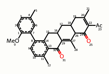 COc1ccc(C)cc1-c1ccc(C)c2c1CC1CC3CC(C)=C(C(C)=O)C(=O)C3C(C)=C1C2=O